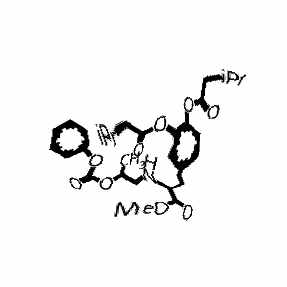 COC(=O)[C@H](Cc1ccc(OC(=O)CC(C)C)c(OC(=O)CC(C)C)c1)NCC(C)OC(=O)Oc1ccccc1